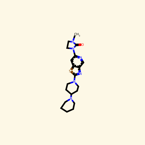 CN1CCN(c2cc3sc(N4CCC(N5CCCCC5)CC4)nc3cn2)C1=O